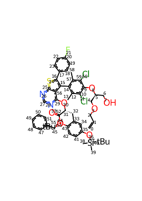 C=CCOC[C@H](CO)Oc1c(Cl)c(C)c(-c2c(-c3ccc(F)cc3)sc3ncnc(O[C@H](Cc4cc(O[Si](C)(C)C(C)(C)C)ccc4OCc4ccccc4)C(=O)OC(C)(C)C)c23)c(C)c1Cl